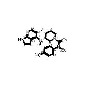 CCN(C(=O)N1CC[C@@H](C)[C@@H](N(C)c2ccnc3[nH]ccc23)C1)c1ccc(C#N)cc1